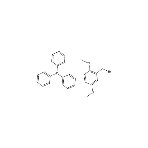 COc1ccc(OC)c(CBr)c1.c1ccc(P(c2ccccc2)c2ccccc2)cc1